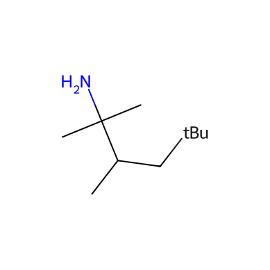 CC(CC(C)(C)C)C(C)(C)N